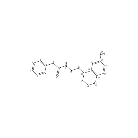 O=C(Cc1ccccc1)NCCC1CCOc2ccc(O)cc21